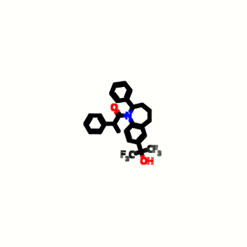 CC(C(=O)N1c2ccc(C(O)(C(F)(F)F)C(F)(F)F)cc2CCCC1c1ccccc1)c1ccccc1